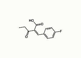 CCC(=O)C(=Cc1ccc(F)cc1)C(=O)O